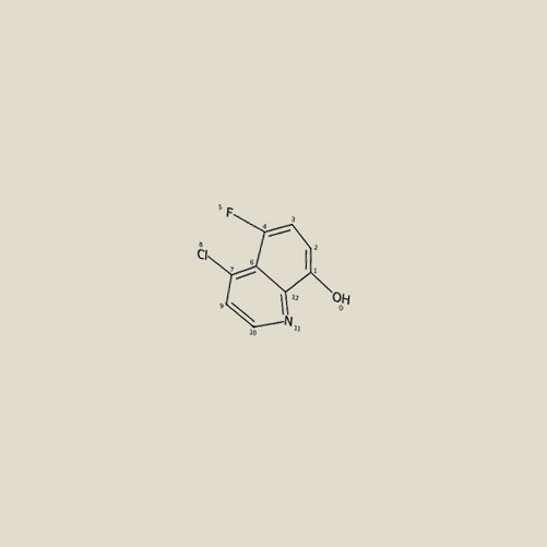 Oc1ccc(F)c2c(Cl)ccnc12